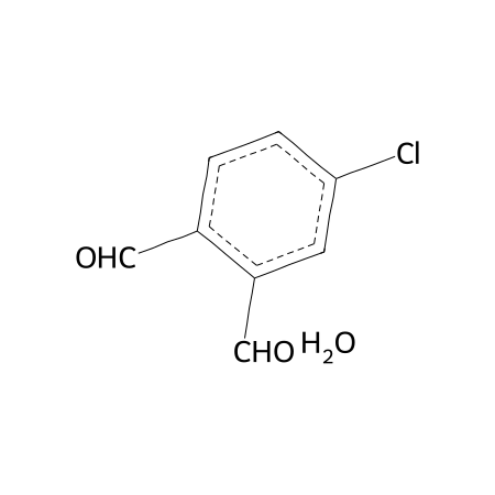 O.O=Cc1ccc(Cl)cc1C=O